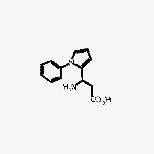 NC(CC(=O)O)c1cccn1-c1ccccc1